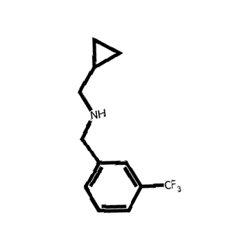 FC(F)(F)c1cccc(CNCC2CC2)c1